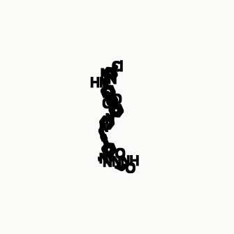 Cn1nc(N2CCC(=O)NC2=O)c2ccc(C#CCN3CCN(c4cccc(S(=O)(=O)N5CCC(Nc6ncc(Cl)cn6)CC5)c4)CC3)cc21